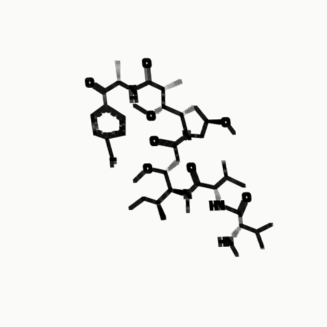 CC[C@H](C)[C@@H]([C@@H](CC(=O)N1C[C@H](OC)C[C@H]1[C@H](OC)[C@@H](C)C(=O)N[C@@H](C)C(=O)c1ccc(F)cc1)OC)N(C)C(=O)[C@@H](NC(=O)[C@@H](NC)C(C)C)C(C)C